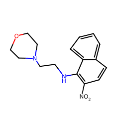 O=[N+]([O-])c1ccc2ccccc2c1NCCN1CCOCC1